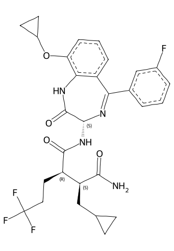 NC(=O)[C@@H](CC1CC1)[C@@H](CCC(F)(F)F)C(=O)N[C@H]1N=C(c2cccc(F)c2)c2cccc(OC3CC3)c2NC1=O